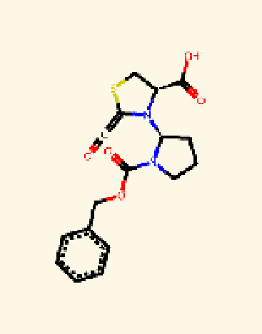 O=C=C1SC[C@@H](C(=O)O)N1[C@H]1CCCN1C(=O)OCc1ccccc1